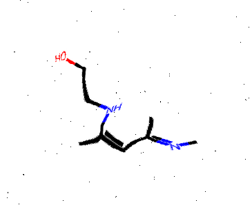 C/N=C(C)/C=C(/C)NCCO